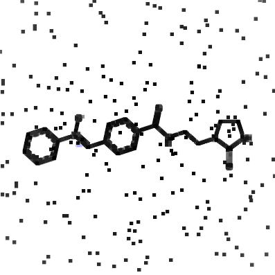 O=C(NCCN1CCNC1=O)c1ccc(/C=[N+](\[O-])c2ccccc2)cc1